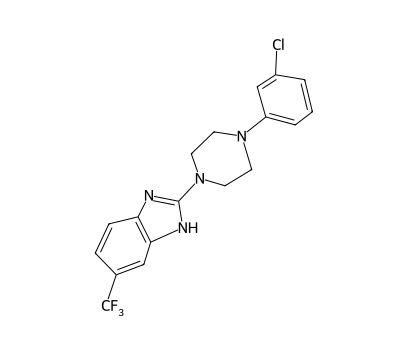 FC(F)(F)c1ccc2nc(N3CCN(c4cccc(Cl)c4)CC3)[nH]c2c1